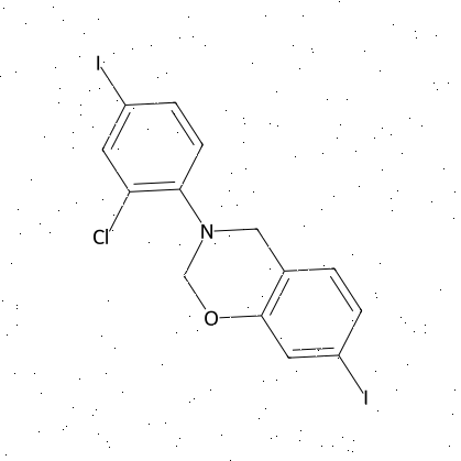 Clc1cc(I)ccc1N1COc2cc(I)ccc2C1